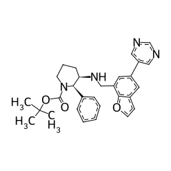 CC(C)(C)OC(=O)N1CCC[C@@H](NCc2cc(-c3cncnc3)cc3ccoc23)[C@H]1c1ccccc1